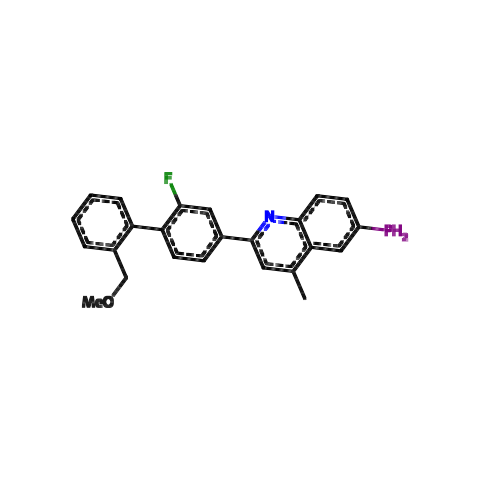 COCc1ccccc1-c1ccc(-c2cc(C)c3cc(P)ccc3n2)cc1F